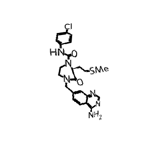 CSCC[C@H]1C(=O)N(Cc2ccc3c(N)ncnc3c2)CCN1C(=O)Nc1ccc(Cl)cc1